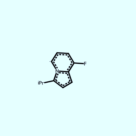 CC(C)c1ccc2c(F)cc[c]n12